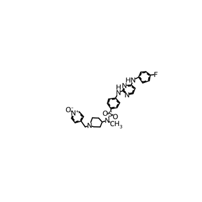 CN(C1CCN(Cc2cc[n+]([O-])cc2)CC1)S(=O)(=O)c1ccc(Nc2nccc(Nc3ccc(F)cc3)n2)cc1